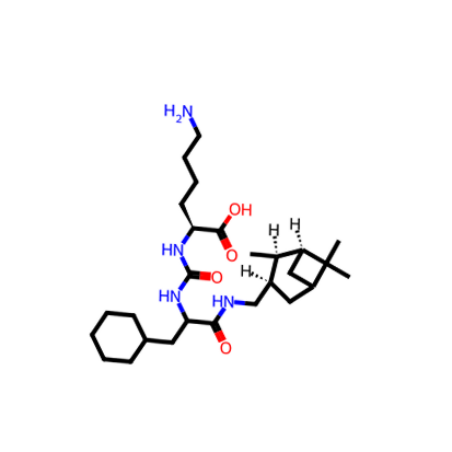 C[C@@H]1[C@H](CNC(=O)C(CC2CCCCC2)NC(=O)N[C@@H](CCCCN)C(=O)O)CC2C[C@@H]1C2(C)C